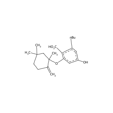 C=C1CCC(C)(C)CC1(C)Oc1cc(O)cc(CCCC)c1C(=O)O